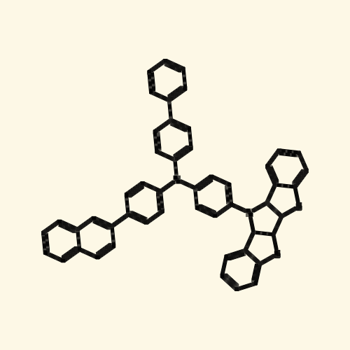 c1ccc(-c2ccc(N(c3ccc(-c4ccc5ccccc5c4)cc3)c3ccc(N4C5c6ccccc6SC5C5Sc6ccccc6C54)cc3)cc2)cc1